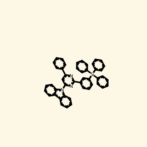 c1ccc(-c2cc(-n3c4ccccc4c4ccccc43)nc(-c3cccc([Si](c4ccccc4)(c4ccccc4)c4ccccc4)c3)n2)cc1